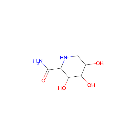 NC(=O)C1NCC(O)C(O)C1O